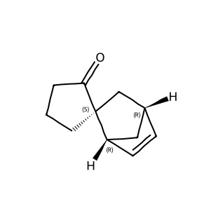 O=C1CCC[C@@]12C[C@@H]1C=C[C@H]2C1